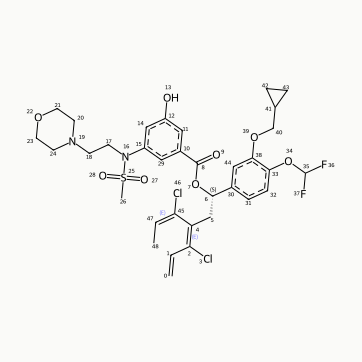 C=C/C(Cl)=C(C[C@H](OC(=O)c1cc(O)cc(N(CCN2CCOCC2)S(C)(=O)=O)c1)c1ccc(OC(F)F)c(OCC2CC2)c1)\C(Cl)=C/C